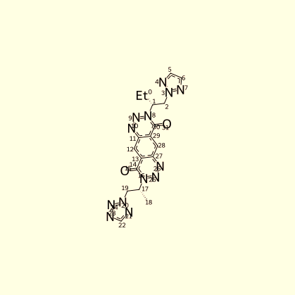 CC[C@H](Cn1nccn1)n1nnc2cc3c(=O)n([C@H](C)Cn4ncnn4)nnc3cc2c1=O